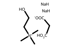 C[N+](C)(C)CCO.O=C([O-])CC(=O)O.[NaH].[NaH]